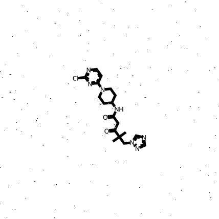 CC(C)(Cn1cncn1)C(=O)CC(=O)NC1CCN(c2ccnc(Cl)n2)CC1